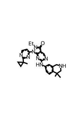 CCn1c(=O)c2cnc(Nc3ccc4c(c3)CNCC4(C)C)nc2n1-c1ccnc(C2(C)CC2)n1